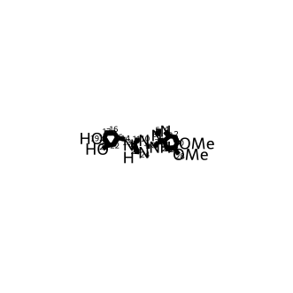 COc1cc2ncnc(Nc3ncc(NCc4ccc(O)c(O)c4)cn3)c2cc1OC